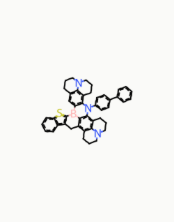 c1ccc(-c2ccc(N3c4c(cc5c6c4CCCN6CCC5)B4c5sc6ccccc6c5Cc5c6c7c(c3c54)CCCN7CCC6)cc2)cc1